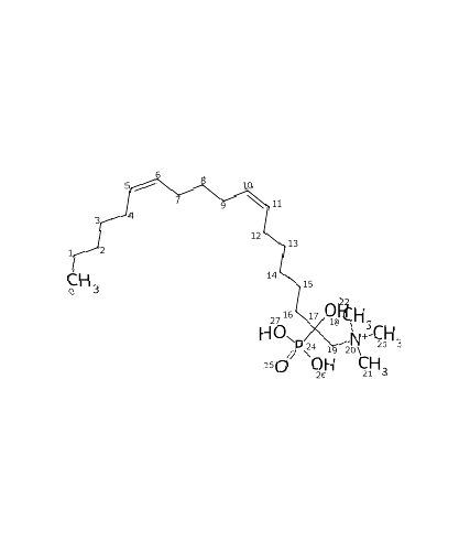 CCCCC/C=C\CCC/C=C\CCCCCC(O)(C[N+](C)(C)C)P(=O)(O)O